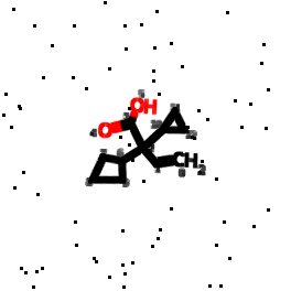 C=CC(C(=O)O)(C1CCC1)C1CC1